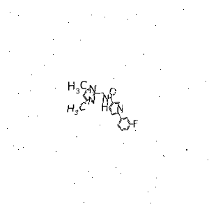 Cc1cc(C)nc(CNC(=O)c2ccc(-c3cccc(F)c3)nc2)n1